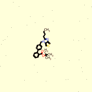 CCCCc1nc2cscc2n1Cc1ccc(-c2ccccc2C(=O)OC(C)(C)C)cc1